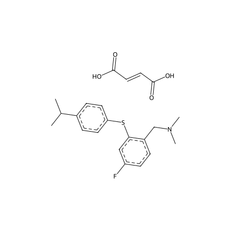 CC(C)c1ccc(Sc2cc(F)ccc2CN(C)C)cc1.O=C(O)C=CC(=O)O